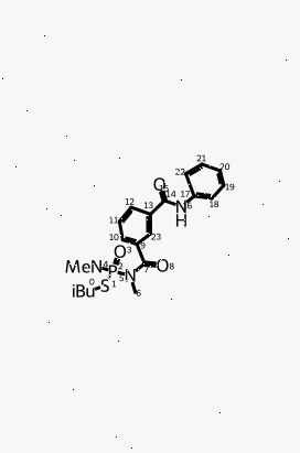 CCC(C)SP(=O)(NC)N(C)C(=O)c1cccc(C(=O)Nc2ccccc2)c1